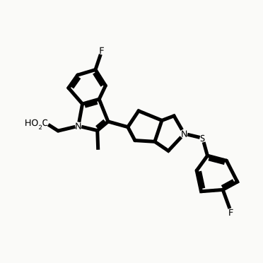 Cc1c(C2CC3CN(Sc4ccc(F)cc4)CC3C2)c2cc(F)ccc2n1CC(=O)O